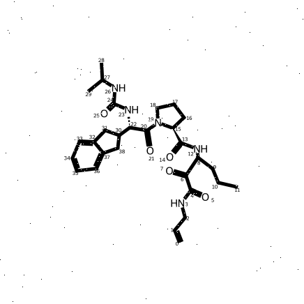 C=CCNC(=O)C(=O)C(CCC)NC(=O)[C@@H]1CCCN1C(=O)[C@@H](NC(=O)NC(C)C)C1Cc2ccccc2C1